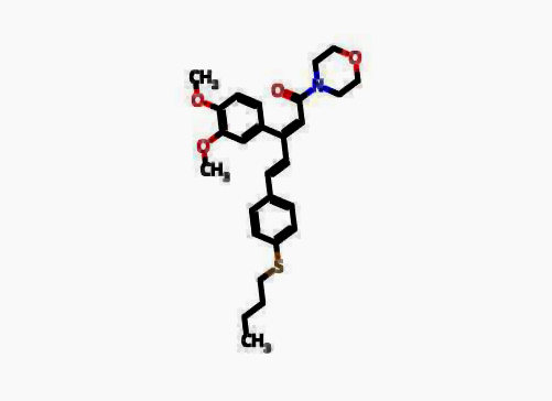 CCCCSc1ccc(C=CC(=CC(=O)N2CCOCC2)c2ccc(OC)c(OC)c2)cc1